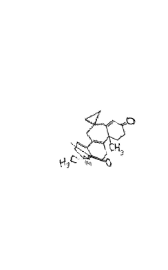 CC12CCC(=O)C=C1C1(CC1)CC1=C2CCC23C(=O)CC[C@]2(C)CC=C13